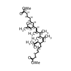 COC(=O)CCCCCC(C=C(C)C)/C=C(/C)C(C)C(C)/C(C)=C/C(C=C(C)C)CCCCCC(=O)OC